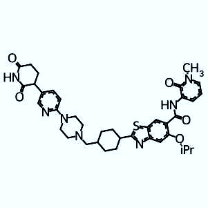 CC(C)Oc1cc2nc(C3CCC(CN4CCN(c5ccc(C6CCC(=O)NC6=O)cn5)CC4)CC3)sc2cc1C(=O)Nc1cccn(C)c1=O